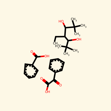 CCC(C(O)C(C)(C)C)C(O)C(C)(C)C.O=C(O)C(=O)c1ccccc1.O=C(O)c1ccccc1